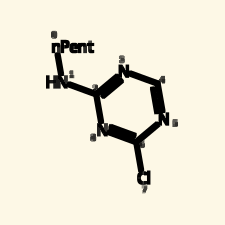 CCCCCNc1ncnc(Cl)n1